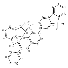 CC1(C)c2ccccc2-c2ccc(-c3ccc4c(c3)C3(c5ccccc5-c5ccccc53)c3ccc5ccccc5c3O4)cc21